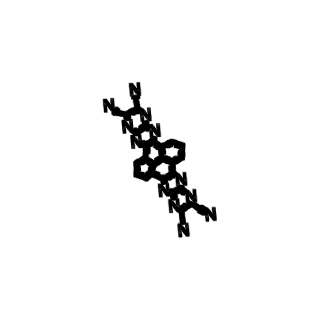 N#Cc1nc2nc3c4cccc5c6nc7nc(C#N)c(C#N)nc7nc6c6cccc(c3nc2nc1C#N)c6c45